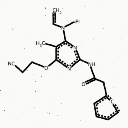 C=CN(c1nc(NC(=O)Cc2ccccc2)nc(OCCC#N)c1C)C(C)C